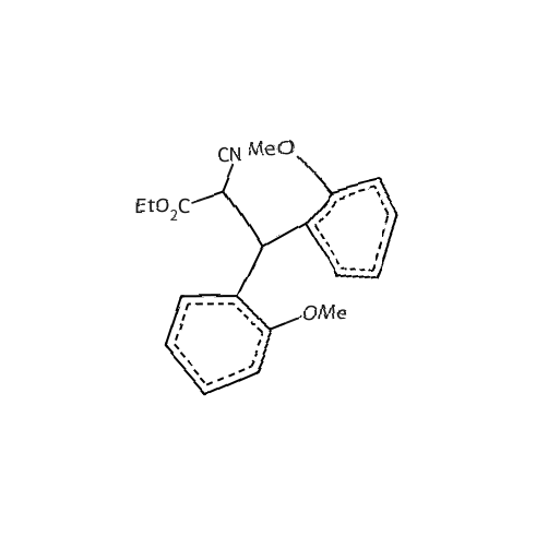 CCOC(=O)C(C#N)C(c1ccccc1OC)c1ccccc1OC